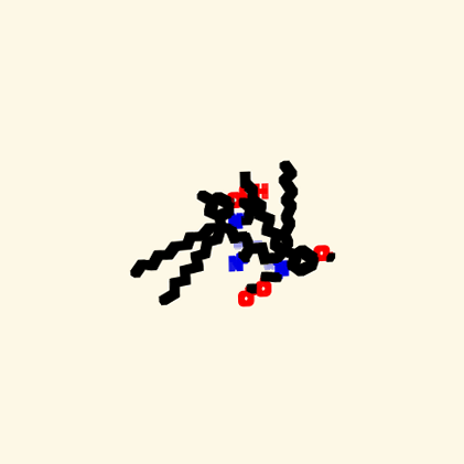 CCCCCCCCCCC1(CCCCCCCCCC)C(/C=C/C(C#N)=C/C=C2/N(CCOC=O)c3ccc(OC)cc3C2(CCCCCCCCCC)CCCCCCCCCC)=[N+](CCC(=O)O)c2ccc(C)cc21